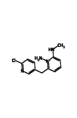 CNc1cccc(Cc2ccc(Cl)nc2)[n+]1N